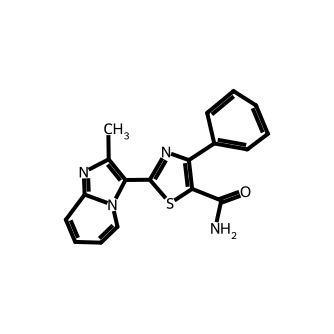 Cc1nc2ccccn2c1-c1nc(-c2ccccc2)c(C(N)=O)s1